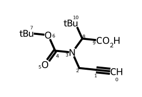 C#CCN(C(=O)OC(C)(C)C)C(C(=O)O)C(C)(C)C